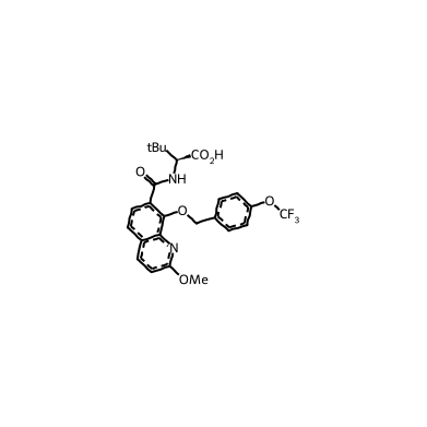 COc1ccc2ccc(C(=O)N[C@H](C(=O)O)C(C)(C)C)c(OCc3ccc(OC(F)(F)F)cc3)c2n1